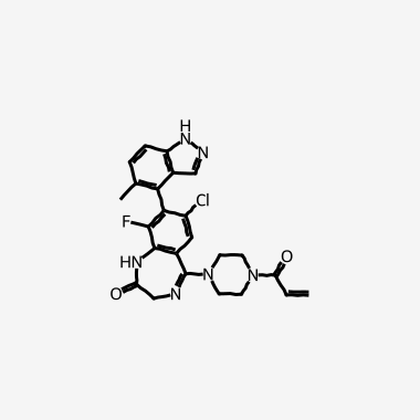 C=CC(=O)N1CCN(C2=NCC(=O)Nc3c2cc(Cl)c(-c2c(C)ccc4[nH]ncc24)c3F)CC1